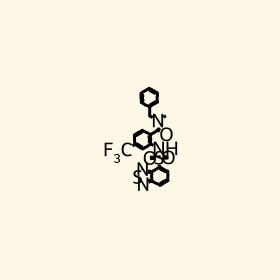 CN(Cc1ccccc1)C(=O)c1ccc(C(F)(F)F)cc1NS(=O)(=O)c1cccc2nsnc12